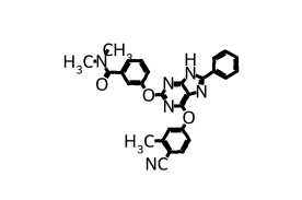 Cc1cc(Oc2nc(Oc3cccc(C(=O)N(C)C)c3)nc3[nH]c(-c4ccccc4)nc23)ccc1C#N